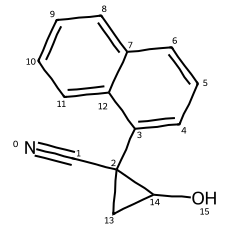 N#CC1(c2cccc3ccccc23)CC1O